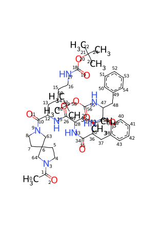 CC(=O)N1CCC2(CCN(C(=O)C(CCCCNC(=O)OC(C)(C)C)NC(=O)C(CC(C)C)NC(=O)C(Cc3ccccc3)NC(=O)C(Cc3ccccc3)NC(=O)OC(C)(C)C)C2)C1